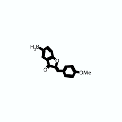 Bc1ccc2c(c1)C(=O)/C(=C/c1ccc(OC)cc1)O2